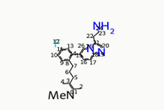 CN/C(C)=C(\C)CCCc1ccc(F)cc1-c1ccc2ncc(CCN)n2c1